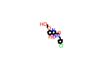 O=C(NCc1ccc(Cl)cc1)c1cnc2c(OCCO)cccc2c1O